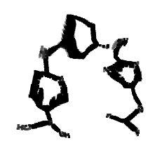 OB(O)c1ccc(N[C@H]2CC[C@H](Nc3ncc(OC(F)F)cn3)C2)nc1